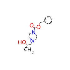 CC(O)CN1CCN(C(=O)OCc2ccccc2)CC1